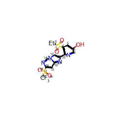 CCS(=O)(=O)c1cc(O)cnc1-c1cn2cnc(S(=O)(=O)C(F)(F)F)cc2n1